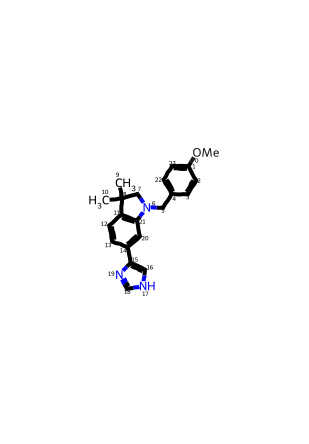 COc1ccc(CN2CC(C)(C)c3ccc(-c4c[nH]cn4)cc32)cc1